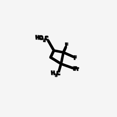 CC(C)C1(C)CC(C(=O)O)C1(F)F